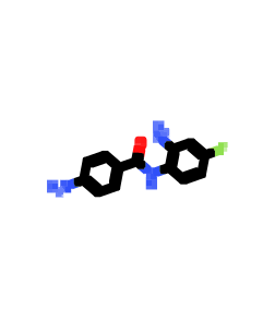 Nc1ccc(C(=O)Nc2ccc(F)cc2N)cc1